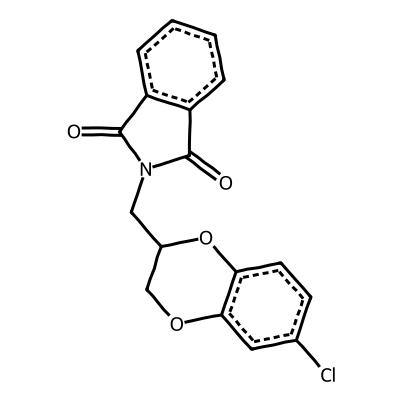 O=C1c2ccccc2C(=O)N1CC1COc2cc(Cl)ccc2O1